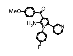 COc1ccc(C(=O)c2cc(-c3cccnc3)n(-c3ccc(F)cc3)c2N)cc1